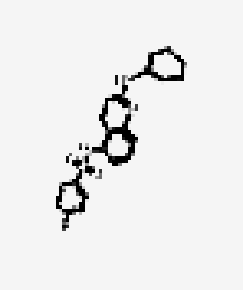 O=S(=O)(Nc1cccc2nc(NC3CCCCC3)ccc12)c1ccc(F)cc1